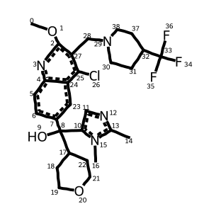 COc1nc2ccc(C(O)(c3cnc(C)n3C)C3CCOCC3)cc2c(Cl)c1CN1CCC(C(F)(F)F)CC1